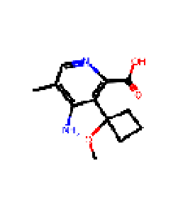 COC1(c2c(C(=O)O)ncc(C)c2N)CCC1